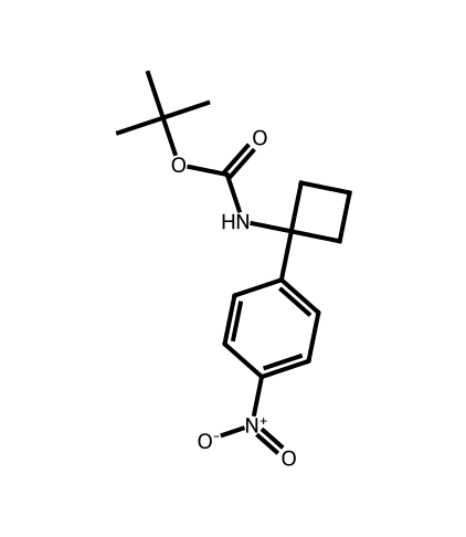 CC(C)(C)OC(=O)NC1(c2ccc([N+](=O)[O-])cc2)CCC1